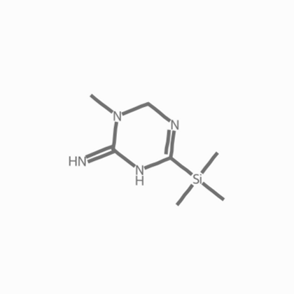 CN1CN=C([Si](C)(C)C)NC1=N